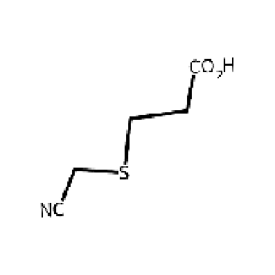 N#CCSCCC(=O)O